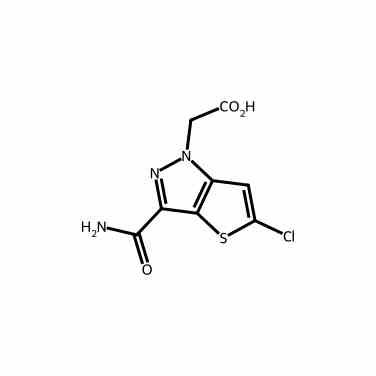 NC(=O)c1nn(CC(=O)O)c2cc(Cl)sc12